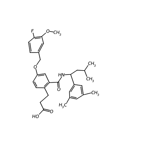 COc1cc(COc2ccc(CCC(=O)O)c(C(=O)NC(CC(C)C)c3cc(C)cc(C)c3)c2)ccc1F